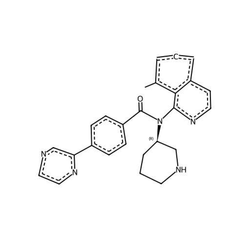 Cc1cccc2ccnc(N(C(=O)c3ccc(-c4cnccn4)cc3)[C@@H]3CCCNC3)c12